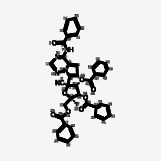 N#C[C@@]1(c2ccc3c(NC(=O)c4ccccc4)ncnn23)O[C@](F)(COC(=O)c2ccccc2)[C@@H](OC(=O)c2ccccc2)[C@H]1OC(=O)c1ccccc1